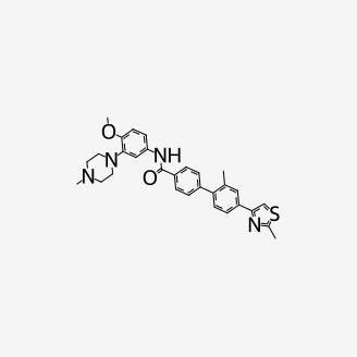 COc1ccc(NC(=O)c2ccc(-c3ccc(-c4csc(C)n4)cc3C)cc2)cc1N1CCN(C)CC1